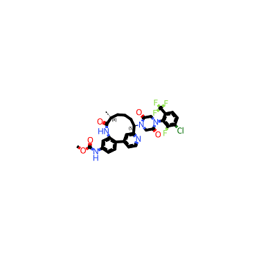 COC(=O)Nc1ccc2c(c1)NC(=O)[C@H](C)CCC[C@H](N1CC(=O)N(c3c(C(F)(F)F)ccc(Cl)c3F)CC1=O)c1cc-2ccn1